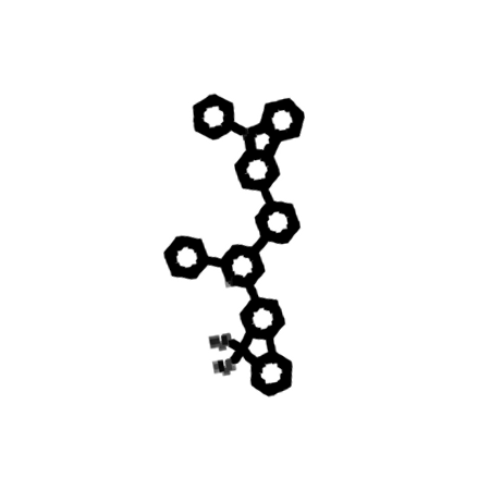 CC1(C)c2ccccc2-c2ccc(-c3cc(-c4cccc(-c5ccc6c(c5)c5ccccc5n6-c5ccccc5)c4)cc(-c4ccccc4)n3)cc21